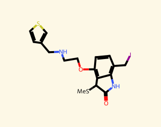 CSC1C(=O)Nc2c(CI)ccc(OCCNCc3ccsc3)c21